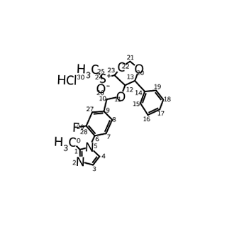 Cc1nccn1-c1ccc(COC2C(c3ccccc3)OCCC2[S+](C)[O-])cc1F.Cl